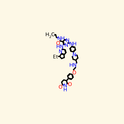 C=CCNC(=O)c1cnc(Nc2ccc(N3CCC(CNCCOc4ccc(C5CCC(=O)NC5=O)cc4)CC3)cc2)nc1Nc1ccc2c(n1)C(CC)CC2